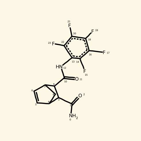 NC(=O)C1C2C=CC(C2)C1C(=O)Nc1c(F)c(F)c(F)c(F)c1F